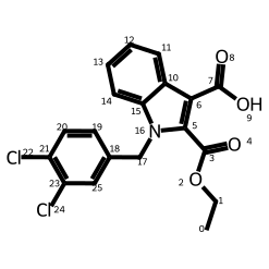 CCOC(=O)c1c(C(=O)O)c2ccccc2n1Cc1ccc(Cl)c(Cl)c1